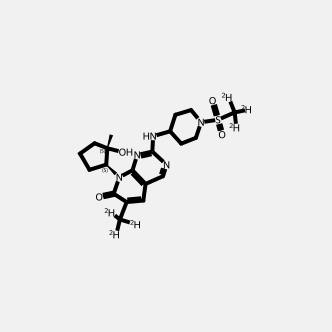 [2H]C([2H])([2H])c1cc2cnc(NC3CCN(S(=O)(=O)C([2H])([2H])[2H])CC3)nc2n([C@H]2CCC[C@]2(C)O)c1=O